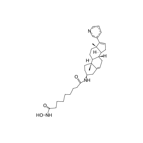 C[C@]12CC[C@H](NC(=O)CCCCCCCC(=O)NO)CC1=CC[C@@H]1[C@@H]2CC[C@]2(C)C(c3cccnc3)=CC[C@@H]12